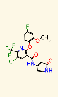 COc1cc(F)ccc1Oc1nc(C(F)(F)F)c(Cl)cc1C(=O)Nc1cc[nH]c(=O)c1